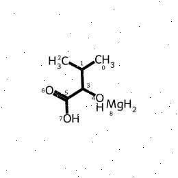 CC(C)C(O)C(=O)O.[MgH2]